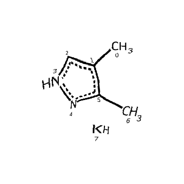 Cc1c[nH]nc1C.[KH]